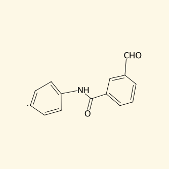 O=Cc1cccc(C(=O)Nc2cc[c]cc2)c1